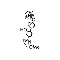 COc1ncnc(-c2ccc(-c3ccc(O[C@H]4C[C@]5(C)CC[C@](C)(C4)N5)nn3)c(O)c2)n1